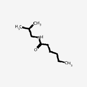 CCCC[CH]C(=O)NCC(C)C